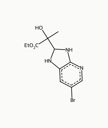 CCOC(=O)C(C)(O)C1Nc2cc(Br)cnc2N1